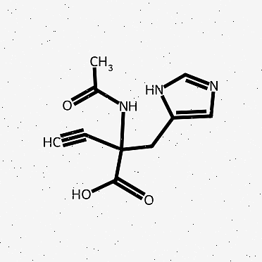 C#CC(Cc1cnc[nH]1)(NC(C)=O)C(=O)O